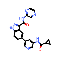 O=C(Nc1cnccn1)c1n[nH]c2ccc(-c3cncc(NC(=O)C4CC4)c3)cc12